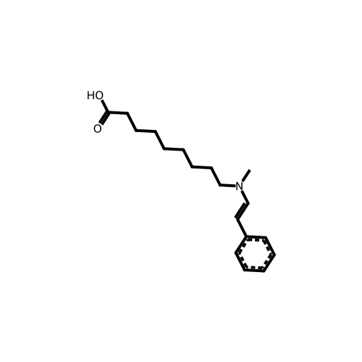 CN(C=Cc1ccccc1)CCCCCCCCC(=O)O